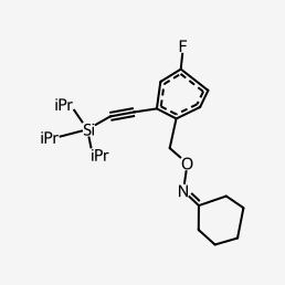 CC(C)[Si](C#Cc1cc(F)ccc1CON=C1CCCCC1)(C(C)C)C(C)C